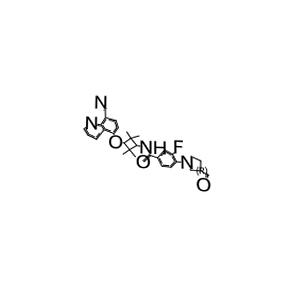 CC1(C)C(NC(=O)c2ccc(N3CC[C@@H](C=O)C3)c(F)c2)C(C)(C)C1Oc1ccc(C#N)c2ncccc12